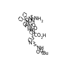 CC(C)(C)OC(=O)NCCSCc1ncccc1SC1=C(C(=O)O)N2C(=O)[C@@H](NC(=O)C(=NOC(c3ccccc3)(c3ccccc3)c3ccccc3)c3nsc(N)n3)[C@H]2CC1